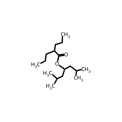 CCCC(CCC)C(=O)OC(CC(C)C)CC(C)C